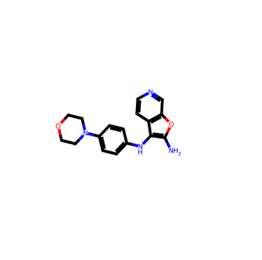 Nc1oc2cnccc2c1Nc1ccc(N2CCOCC2)cc1